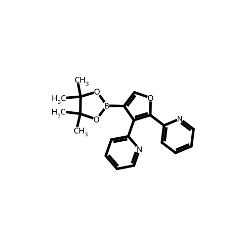 CC1(C)OB(c2coc(-c3ccccn3)c2-c2ccccn2)OC1(C)C